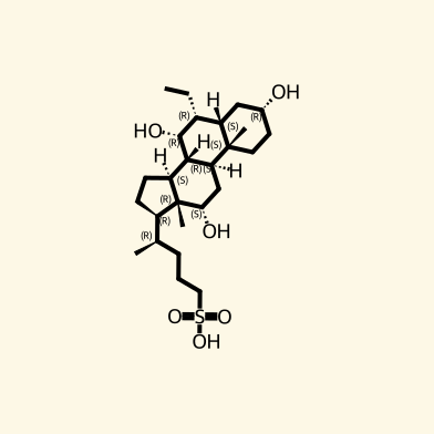 CC[C@H]1[C@@H](O)[C@@H]2[C@H](C[C@H](O)[C@]3(C)[C@@H]([C@H](C)CCCS(=O)(=O)O)CC[C@@H]23)[C@@]2(C)CC[C@@H](O)C[C@@H]12